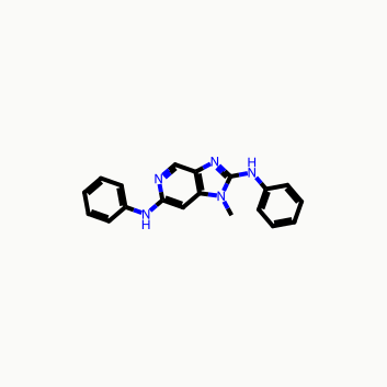 Cn1c(Nc2ccccc2)nc2cnc(Nc3ccccc3)cc21